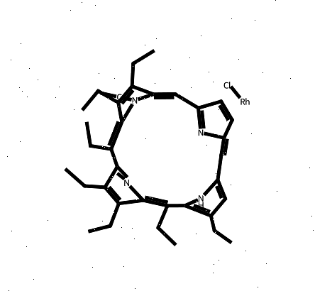 CCC1=C(CC)c2nc1c(CC)c1[nH]c(cc3nc(cc4c(CC)c(CC)c(c2CC)n4CC)C=C3)cc1CC.[Cl][Rh]